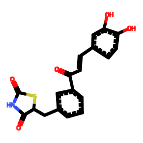 O=C1NC(=O)C(Cc2cccc(C(=O)/C=C/c3ccc(O)c(O)c3)c2)S1